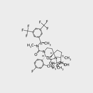 Cc1cc(F)ccc1[C@H]1C[C@@]2(CCN1C(=O)N(C)[C@H](C)c1cc(C(F)(F)F)cc(C(F)(F)F)c1)CC[C@@](C)(C(=O)O)[N+]2(C(=O)O)C(C)(C)C